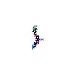 CC1(C(=O)Nc2c[nH]c3ccc(OCCc4ccc(C(F)(F)F)cc4)cc23)CN(CC(F)F)C1